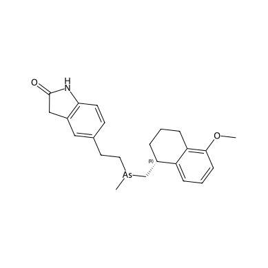 COc1cccc2c1CCC[C@H]2C[As](C)CCc1ccc2c(c1)CC(=O)N2